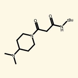 CN(C)C1CCN(C(=O)CC(=O)NC(C)(C)C)CC1